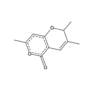 CC1=Cc2c(cc(C)oc2=O)OC1C